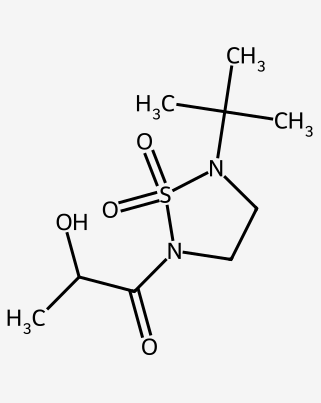 CC(O)C(=O)N1CCN(C(C)(C)C)S1(=O)=O